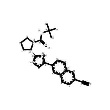 C#Cc1ccc2cc(-c3cnc([C@@H]4CCCN4C(=O)OC(C)(C)C)[nH]3)ccc2c1